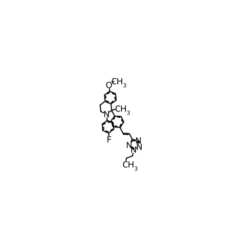 CCCn1nnc(C=Cc2ccc(C3(C)c4ccc(OC)cc4CCN3c3ccc(F)cc3)cc2)n1